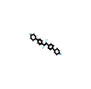 F/C(=C(/F)c1ccc(C2CCC(F)CC2)cc1)c1ccc(C2CCC(F)CC2)cc1